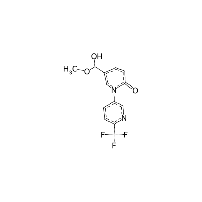 COC(O)c1ccc(=O)n(-c2ccc(C(F)(F)F)nc2)c1